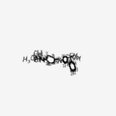 CC(C)(C)SNC1CCC(CNc2ccc(C(C)(O)c3ccccc3)cc2)CC1